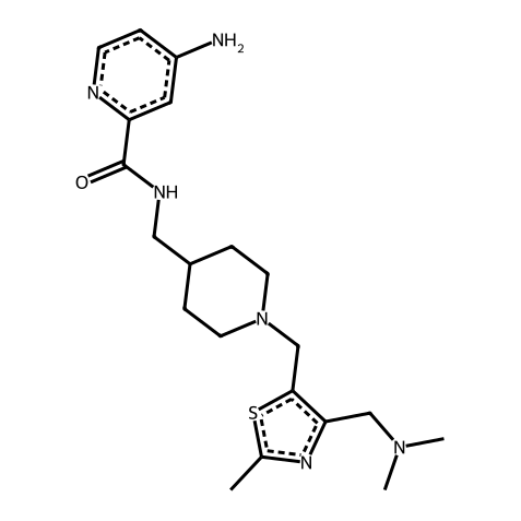 Cc1nc(CN(C)C)c(CN2CCC(CNC(=O)c3cc(N)ccn3)CC2)s1